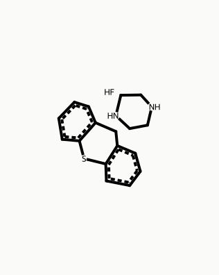 C1CNCCN1.F.c1ccc2c(c1)Cc1ccccc1S2